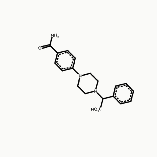 NC(=O)c1ccc(N2CCN(C(C(=O)O)c3ccccc3)CC2)cc1